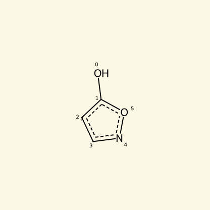 Oc1[c]cno1